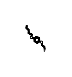 CCCCCOc1ccc(OCCF)cc1